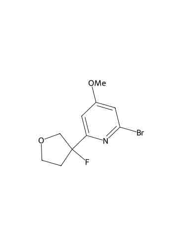 COc1cc(Br)nc(C2(F)CCOC2)c1